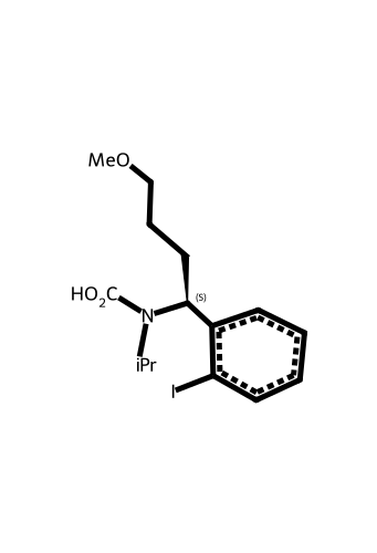 COCCC[C@@H](c1ccccc1I)N(C(=O)O)C(C)C